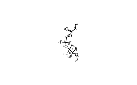 C=CC(=O)OCC(F)(F)OC(F)(F)C(F)(F)OC